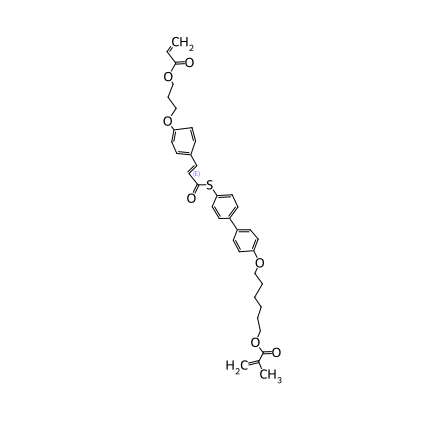 C=CC(=O)OCCCOc1ccc(/C=C/C(=O)Sc2ccc(-c3ccc(OCCCCCCOC(=O)C(=C)C)cc3)cc2)cc1